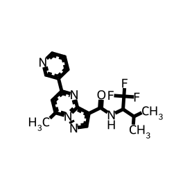 Cc1cc(-c2cccnc2)nc2c(C(=O)NC(C(C)C)C(F)(F)F)cnn12